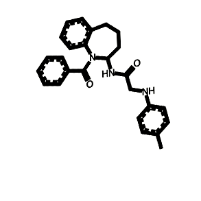 Cc1ccc(NCC(=O)NC2CCCc3ccccc3N2C(=O)c2ccccc2)cc1